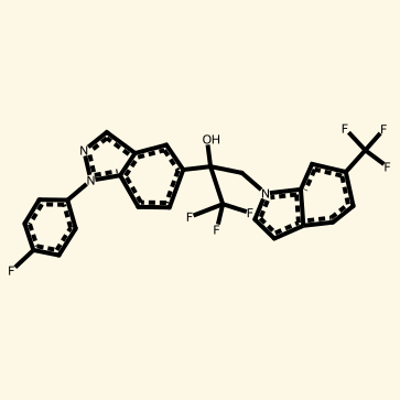 OC(Cn1ccc2ccc(C(F)(F)F)cc21)(c1ccc2c(cnn2-c2ccc(F)cc2)c1)C(F)(F)F